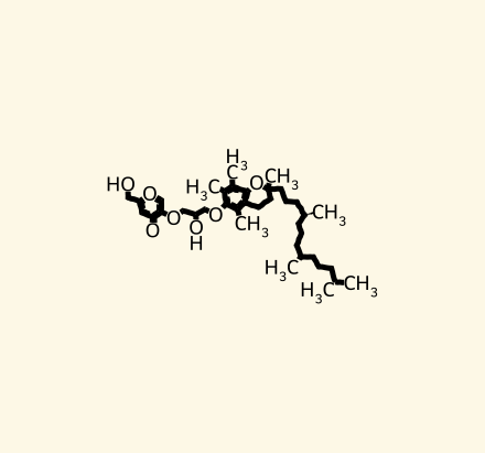 Cc1c(C)c2c(c(C)c1OCC(O)COc1coc(CO)cc1=O)CCC(C)(CCC[C@H](C)CCCC(C)CCCC(C)C)O2